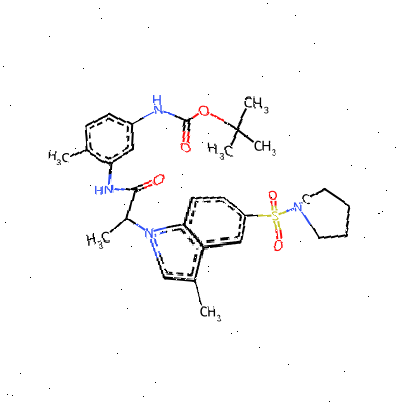 Cc1ccc(NC(=O)OC(C)(C)C)cc1NC(=O)C(C)n1cc(C)c2cc(S(=O)(=O)N3CCCCC3)ccc21